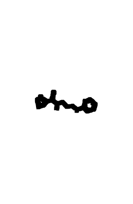 O=C(NCCCSc1ccccn1)c1ccco1